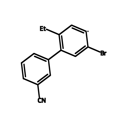 CCc1c[c]c(Br)cc1-c1cccc(C#N)c1